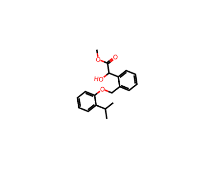 COC(=O)C(O)c1ccccc1COc1ccccc1C(C)C